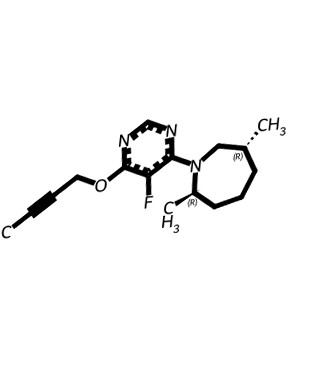 CC#CCOc1ncnc(N2C[C@H](C)CCC[C@H]2C)c1F